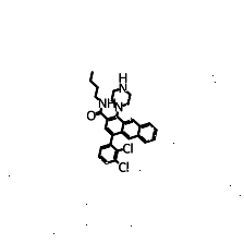 CCCCNC(=O)c1cc(-c2cccc(Cl)c2Cl)c2cc3ccccc3cc2c1N1CCNCC1